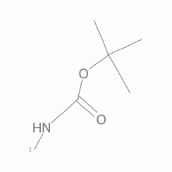 [CH]NC(=O)OC(C)(C)C